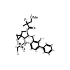 COCC(C)(F)C(=O)N1CC2(CC2)[C@H](NS(=O)(=O)CF)[C@@H]1Cc1cccc(-c2ccccc2)c1F